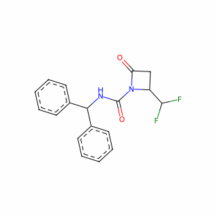 O=C1CC(C(F)F)N1C(=O)NC(c1ccccc1)c1ccccc1